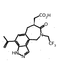 C=C(C)c1cc2c(c3cn[nH]c13)CN(CC(F)(F)F)C(=O)[C@H](CC(=O)O)C2